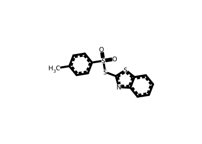 Cc1ccc(S(=O)(=O)Sc2nc3ccccc3s2)cc1